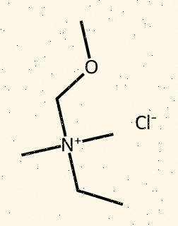 CC[N+](C)(C)COC.[Cl-]